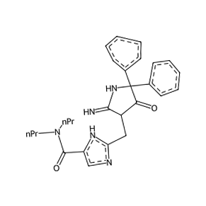 CCCN(CCC)C(=O)c1cnc(CC2C(=N)NC(c3ccccc3)(c3ccccc3)C2=O)[nH]1